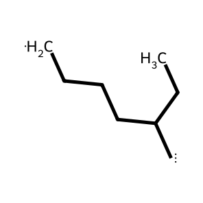 [C]C(CC)CCC[CH2]